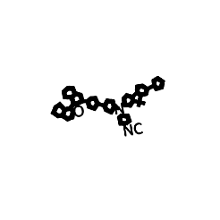 [C-]#[N+]c1ccc(N(c2ccc(-c3ccc(-c4cc5ccccc5c5c4oc4ccc6ccccc6c45)cc3)cc2)c2ccc3c(c2)C(C)(C)c2cc(-c4ccccc4)ccc2-3)cc1